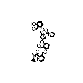 CN(C(=O)c1ncccc1COc1cccc(OC2CC(COc3cccc(O)c3C=O)N(C(=O)N3CCCC3)C2)c1C=O)C1CC1